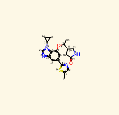 Cc1cnc(-c2cc(OC(C)[C@H]3CNC(=O)C3)c3c(c2)ncn3C2CC2)s1